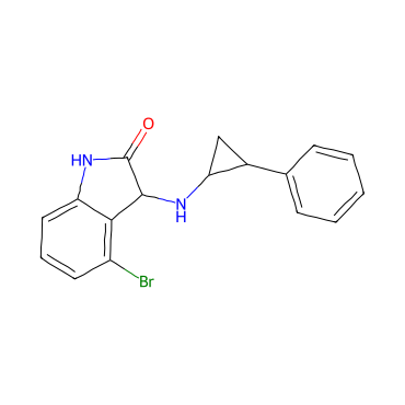 O=C1Nc2cccc(Br)c2C1NC1CC1c1ccccc1